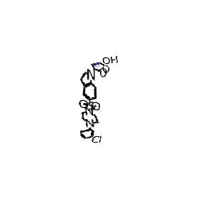 O=C(O)/C=C\C(=O)N1CCc2cc(S(=O)(=O)N3CCN(c4cccc(Cl)c4)CC3)ccc21